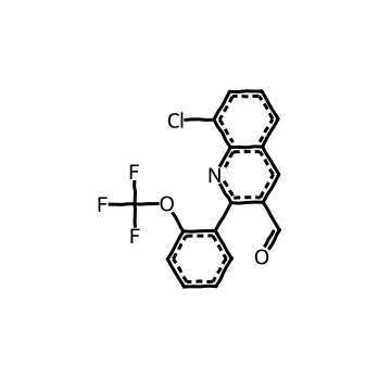 O=Cc1cc2cccc(Cl)c2nc1-c1ccccc1OC(F)(F)F